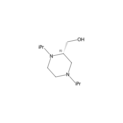 CC(C)N1CCN(C(C)C)[C@H](CO)C1